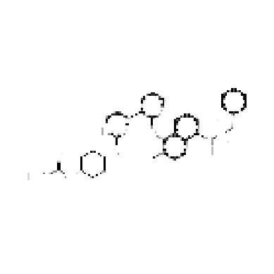 Cc1ccc2c(NS(=O)(=O)Cc3ccccc3)cccc2c1Oc1ncccc1-c1ccnc(N[C@H]2CC[C@H](OC(N)=O)CC2)n1